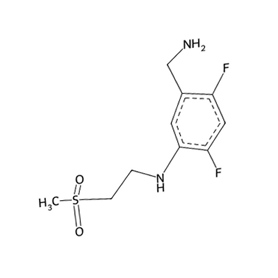 CS(=O)(=O)CCNc1cc(CN)c(F)cc1F